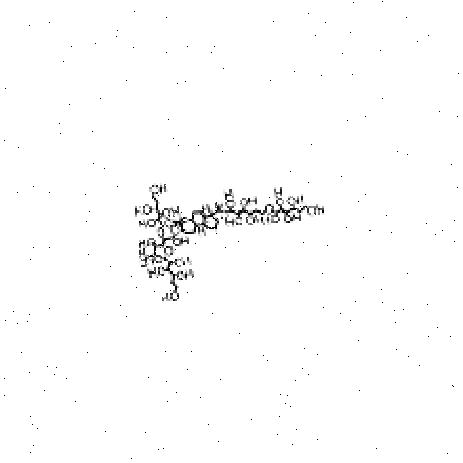 C=C1C[C@@]23CC[C@H]4[C@@](C)(CCC[C@@]4(C)C(=O)O[C@H](O)/C(O)=C(\O)[C@H](O)CCO[C@@H](O)/C(O)=C(\O)[C@H](O)CCO)[C@@H]2CC[C@]1(O[C@H](O)/C(O[C@H](O)/C(O)=C(\O)[C@H](O)CCO)=C(\O[C@H](O)/C(O)=C(\O)[C@H](O)CCO)[C@H](O)CCO)C3